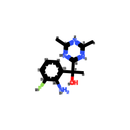 Cc1nc(C)nc(C(C)(O)c2cccc(F)c2N)n1